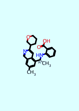 Cc1cc([C@@H](C)Nc2ccccc2C(=O)O)c2cc(C3CCCOC3)ncc2c1